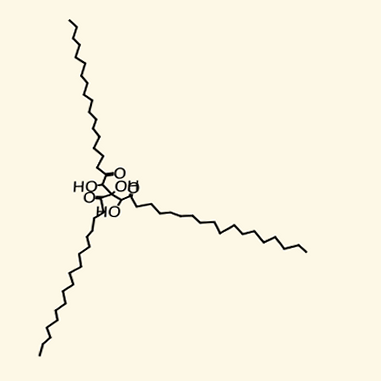 CCCCCCCCCCCCCCCCCC(=O)C(O)C(O)(C(=O)CCCCCCCCCCCCCCCCC)C(O)C(=O)CCCCCCCCCCCCCCCCC